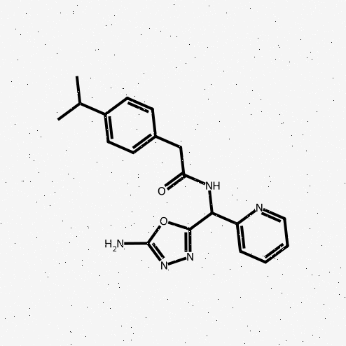 CC(C)c1ccc(CC(=O)NC(c2ccccn2)c2nnc(N)o2)cc1